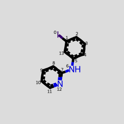 Ic1cccc(Nc2ccccn2)c1